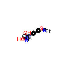 CCN1CC(Oc2ccc(-c3ccc(/C=C/[C@@H](CO)n4ccnc4[C@H](C)O)cc3)cc2)C1